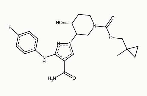 CC1(COC(=O)N2CC[C@@H](C#N)C(n3cc(C(N)=O)c(Nc4ccc(F)cc4)n3)C2)CC1